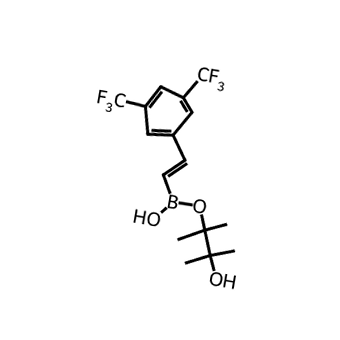 CC(C)(O)C(C)(C)OB(O)/C=C/c1cc(C(F)(F)F)cc(C(F)(F)F)c1